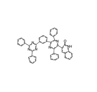 O=c1[nH]c2ccccc2cc1-c1nc(-c2ccccc2)c(-c2cccc(-c3nc(-c4ccccc4)nc(-c4ccccc4)n3)c2)nc1-c1ccccc1